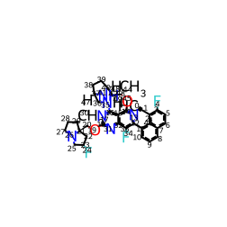 C#Cc1c(F)ccc2cccc(-c3nc4c5c(nc(OC[C@@]67C[C@@H](F)CN6CCC7=C)nc5c3F)N3C[C@H]5CC[C@H](N5)[C@H]3[C@H](C)O4)c12